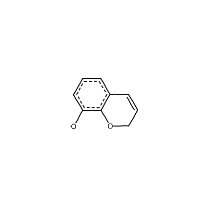 [O]c1cccc2c1OCC=C2